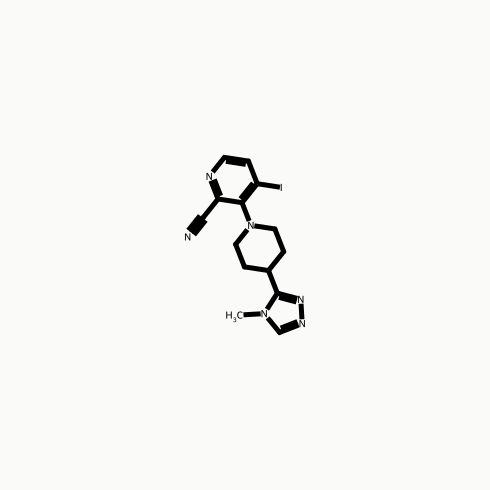 Cn1cnnc1C1CCN(c2c(I)ccnc2C#N)CC1